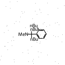 CCCCc1ccccc1C(CCCC)(CCCC)NC